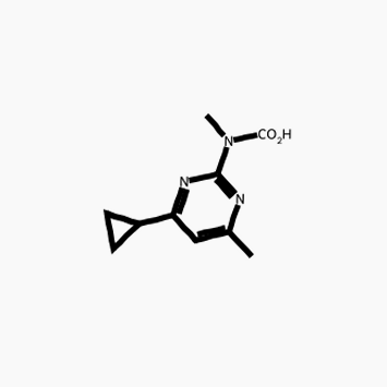 Cc1cc(C2CC2)nc(N(C)C(=O)O)n1